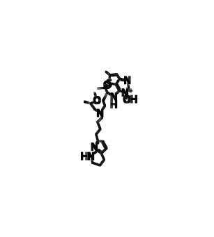 CO[C@H](C)CN(CCCCc1ccc2c(n1)NCCC2)CC[C@H](Nc1c2sc(C)cc2nc[n+]1O)C(C)=O